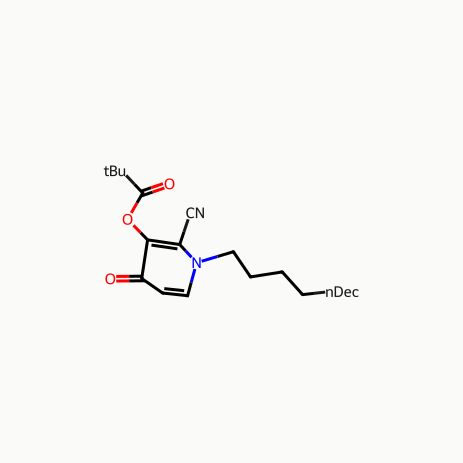 CCCCCCCCCCCCCCn1ccc(=O)c(OC(=O)C(C)(C)C)c1C#N